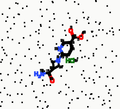 COC(=O)c1ccc(N2CC(C(N)=O)C2)nc1.Cl